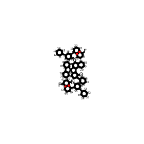 Fc1ccc(N(c2ccc(-c3ccccc3)cc2-c2ccccc2)c2cc3c(c4ccccc24)-c2c(cc(N(c4ccc(F)cc4)c4ccc(-c5ccccc5)cc4-c4ccccc4)c4c2oc2ccccc24)C32c3ccccc3-c3ccccc32)cc1